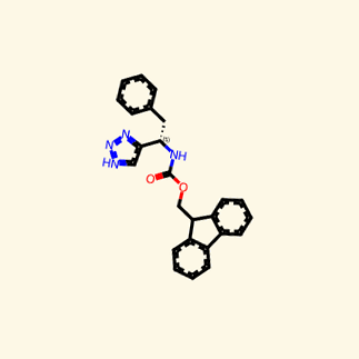 O=C(N[C@@H](Cc1ccccc1)c1c[nH]nn1)OCC1c2ccccc2-c2ccccc21